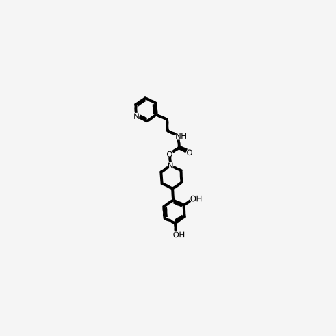 O=C(NCCc1cccnc1)ON1CCC(c2ccc(O)cc2O)CC1